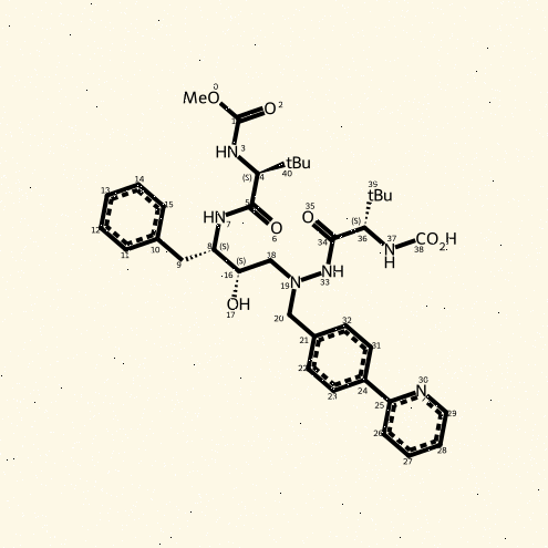 COC(=O)N[C@H](C(=O)N[C@@H](Cc1ccccc1)[C@@H](O)CN(Cc1ccc(-c2ccccn2)cc1)NC(=O)[C@@H](NC(=O)O)C(C)(C)C)C(C)(C)C